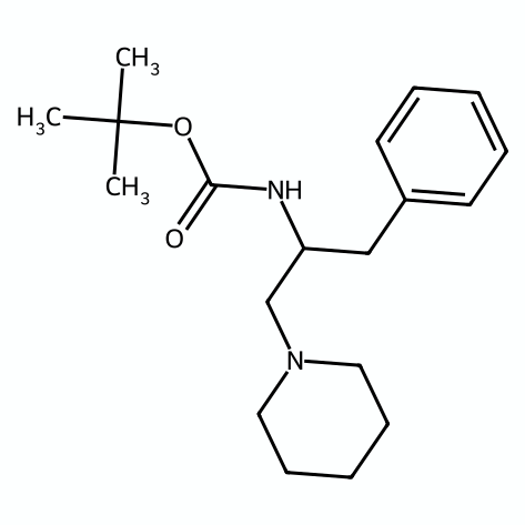 CC(C)(C)OC(=O)NC(Cc1ccccc1)CN1CCCCC1